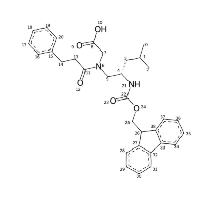 CC(C)C[C@@H](CN(CC(=O)O)C(=O)CCc1ccccc1)NC(=O)OCC1c2ccccc2-c2ccccc21